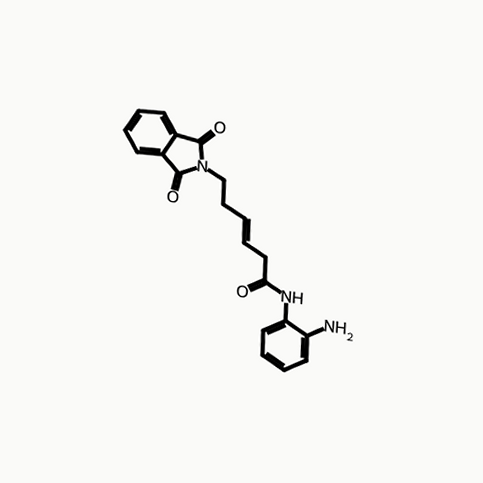 Nc1ccccc1NC(=O)CC=CCCN1C(=O)c2ccccc2C1=O